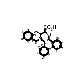 C[C@@H](C(OCc1ccccc1)C(=O)O)N(Cc1ccccc1)Cc1ccccc1